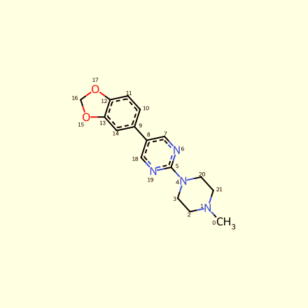 CN1CCN(c2ncc(-c3ccc4c(c3)OCO4)cn2)CC1